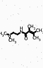 CC(C)=C(C)C(=O)NCCN(C)C